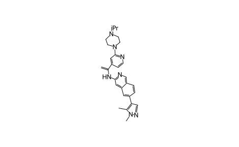 C=C(Nc1cc2cc(-c3cnn(C)c3C)ccc2cn1)c1ccnc(N2CCN(C(C)C)CC2)c1